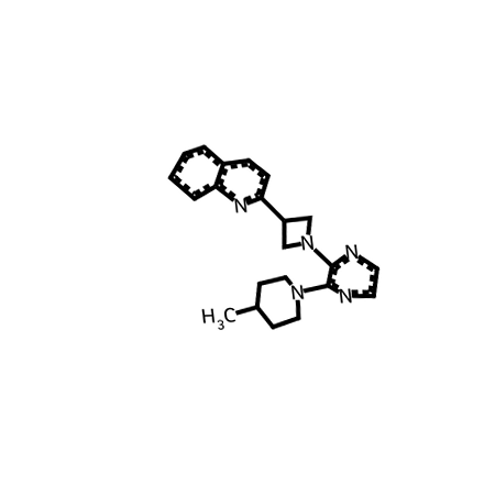 CC1CCN(c2nccnc2N2CC(c3ccc4ccccc4n3)C2)CC1